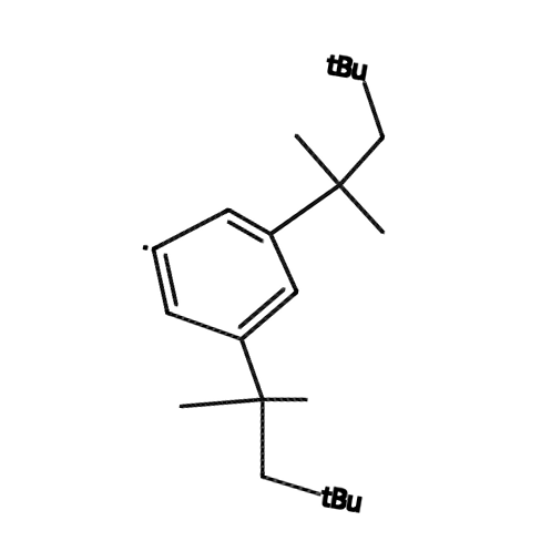 CC(C)(C)CC(C)(C)c1c[c]cc(C(C)(C)CC(C)(C)C)c1